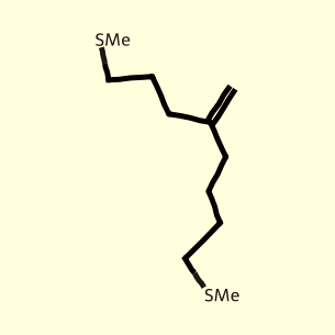 C=C(CCCCSC)CCCSC